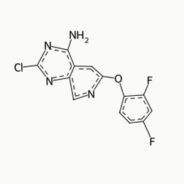 Nc1nc(Cl)nc2cnc(Oc3ccc(F)cc3F)cc12